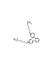 CCCCCC[n+]1ccc(-c2ccccc2-c2cc[n+](CCCCCC)cc2)cc1